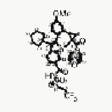 COc1ccc2c(c1)C1CC1(C(=O)N1C=c3oc(n3C)=C1)Cn1c-2c(C2CCCCC2)c2ccc(C(=O)NS(=O)(=O)CCC(F)(F)F)cc21